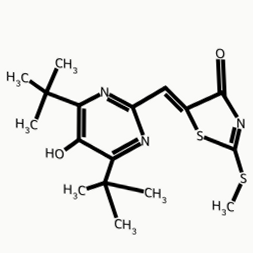 CSC1=NC(=O)C(=Cc2nc(C(C)(C)C)c(O)c(C(C)(C)C)n2)S1